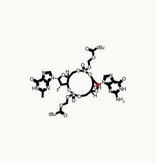 Cc1nc2c(ncn2[C@@H]2O[C@@H]3COP(=O)(OCOC(=O)C(C)(C)C)OC4[C@@H](O)[C@@H](COP(=O)(OCOC(=O)C(C)(C)C)OC3[C@@H]2F)O[C@H]4n2cnc3c(=O)[nH]c(N)nc32)c(=O)[nH]1